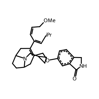 COC/C=C\C(=C/C(C)C)C1=C(COc2ccc3c(c2)C(=O)NC3)CC2CCC(C1)N2CC1CC1